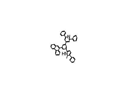 CC1NC(c2cc(-c3cc(-c4ccccc4)nc(-c4ccccc4)c3)cc(-c3cc4ccccc4c4ccccc34)c2)=CC=C1c1ccccc1